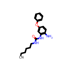 N#CCCCCCNC(=O)Nc1cc(Oc2ccccc2)ccc1N